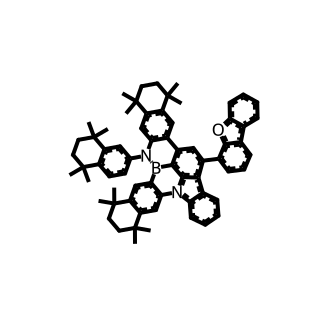 CC1(C)CCC(C)(C)c2cc(N3B4c5cc6c(cc5-n5c7ccccc7c7c(-c8cccc9c8oc8ccccc89)cc(c4c75)-c4cc5c(cc43)C(C)(C)CCC5(C)C)C(C)(C)CCC6(C)C)ccc21